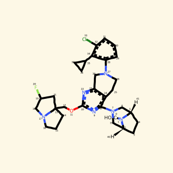 O=C(O)N1[C@@H]2CC[C@H]1CN(c1nc(OCC34CCCN3CC(F)C4)nc3c1CCN(c1cccc(Cl)c1C1CC1)C3)C2